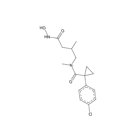 CC(CC(=O)NO)CN(C)C(=O)C1(c2ccc(Cl)cc2)CC1